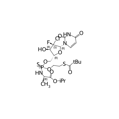 CC(C)OC(=O)[C@@H](C)N[P@@](=S)(OCCSC(=O)C(C)(C)C)OC[C@H]1O[C@@H](n2ccc(=O)[nH]c2=O)[C@@](F)(Cl)[C@@H]1O